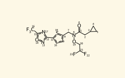 O=C(CC1CC1)N(Cc1ccc(-c2noc(C(F)(F)F)n2)s1)OCC(F)F